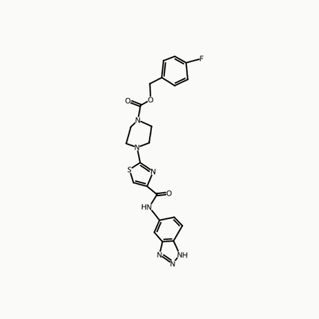 O=C(Nc1ccc2[nH]nnc2c1)c1csc(N2CCN(C(=O)OCc3ccc(F)cc3)CC2)n1